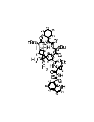 CC[C@@H]1C[C@]1(NC(=O)[C@@H]1CC2(CN1C(=O)[C@@H](NC(=O)[C@@H](NC(=O)NC(C)(C)C)C1CCCCC1)C(C)(C)C)C(C)(C)C21CCC1)C(=O)NS(=O)(=O)c1cccc2cc[nH]c12